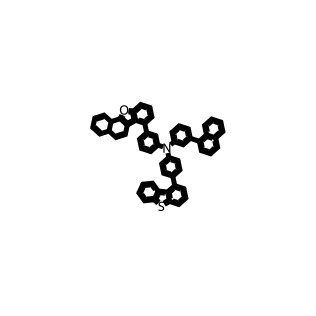 C1=CC2C=Cc3c(oc4cccc(-c5cccc(N(c6ccc(-c7cccc8sc9ccccc9c78)cc6)c6cccc(-c7cccc8ccccc78)c6)c5)c34)C2C=C1